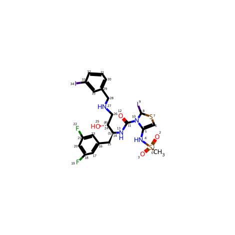 CS(=O)(=O)NC1=CSC(I)N1C(=O)N[C@@H](Cc1cc(F)cc(F)c1)[C@H](O)CNCc1cccc(I)c1